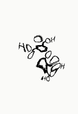 O=C(O)c1cc(Oc2cccc(C(=O)O)c2C(=O)O)cc(C(=O)O)c1